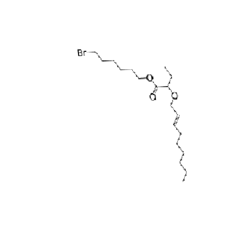 CCCCCC/C=C/COC(CC)C(=O)OCCCCCCBr